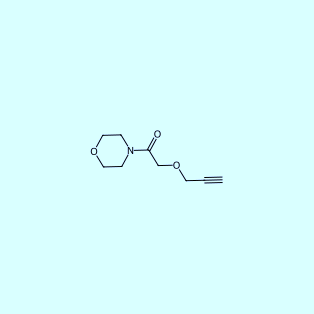 C#CCOCC(=O)N1CCOCC1